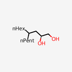 CCCCCCC(CCCCC)C[C@H](O)CO